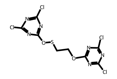 Clc1nc(Cl)nc(OCCSOc2nc(Cl)nc(Cl)n2)n1